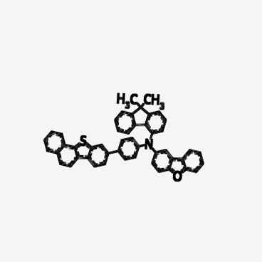 CC1(C)c2ccccc2-c2c(N(c3ccc(-c4ccc5c(c4)sc4c6ccccc6ccc54)cc3)c3ccc4oc5ccccc5c4c3)cccc21